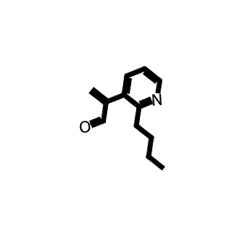 C=C(C=O)c1cccnc1CCCC